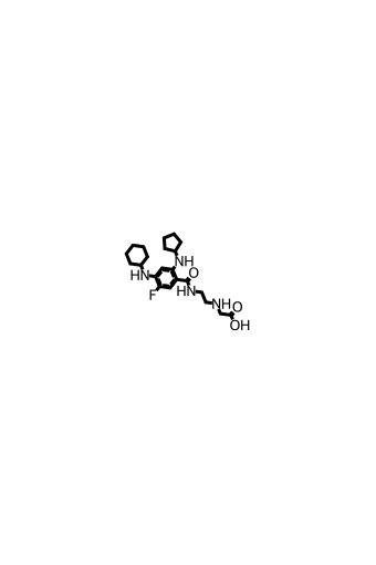 O=C(O)CNCCNC(=O)c1cc(F)c(NC2CCCCC2)cc1NC1CCCC1